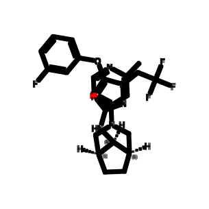 Cc1cc(N2C[C@H]3CC[C@@H](C2)[C@H]3Nc2nc(Oc3cccc(F)c3)n(CC(F)(F)F)n2)ncn1